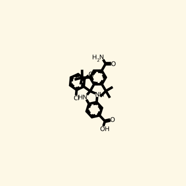 CC(C)(C)c1cc(C(N)=O)cc(C(C)(C)C)c1C1(c2c(Cl)cccc2Cl)Nc2ccc(C(=O)O)cc2N1